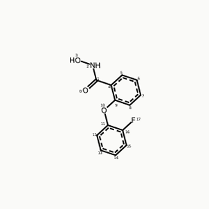 O=C(NO)c1ccccc1Oc1ccccc1F